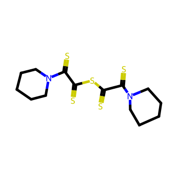 S=C(SC(=S)C(=S)N1CCCCC1)C(=S)N1CCCCC1